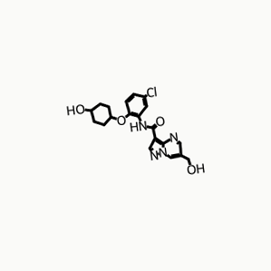 O=C(Nc1cc(Cl)ccc1OC1CCC(O)CC1)c1cnn2cc(CO)cnc12